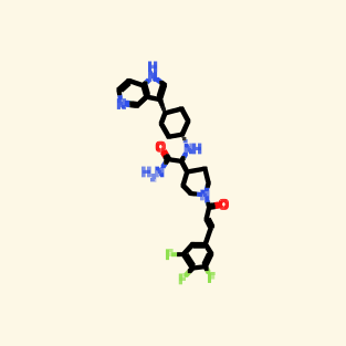 NC(=O)C(N[C@H]1CC[C@H](c2c[nH]c3ccncc32)CC1)C1CCN(C(=O)/C=C/c2cc(F)c(F)c(F)c2)CC1